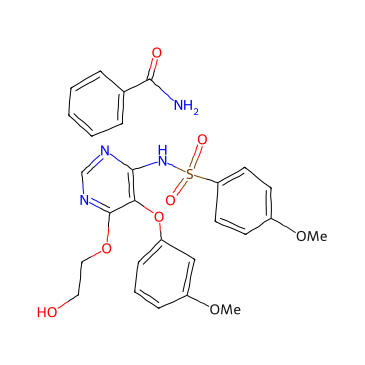 COc1ccc(S(=O)(=O)Nc2ncnc(OCCO)c2Oc2cccc(OC)c2)cc1.NC(=O)c1ccccc1